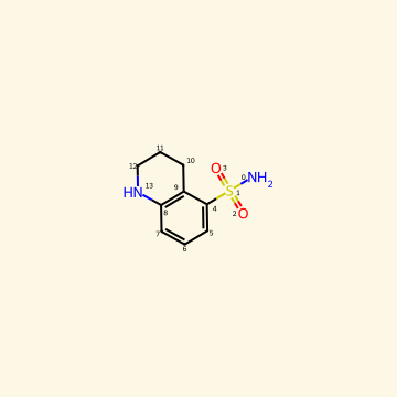 NS(=O)(=O)c1cccc2c1CCCN2